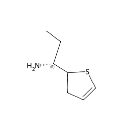 CC[C@@H](N)C1CC=CS1